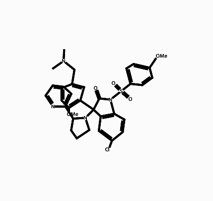 COc1ccc(S(=O)(=O)N2C(=O)C(c3cc(CN(C)C)ccc3OC)(N3CCCC3c3ccccn3)c3cc(Cl)ccc32)cc1